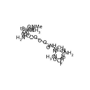 CN[C@@H](C)C(=O)N[C@H](C(=O)N1Cc2cc(OCCOCCOCCC(=O)NCCn3nc4c(c3C)-c3cnc(N)c(c3)N3CCC[C@@H]3c3cc(F)ccc3C(=O)N(C)C4)ccc2C[C@H]1C(N)=O)C(C)(C)C